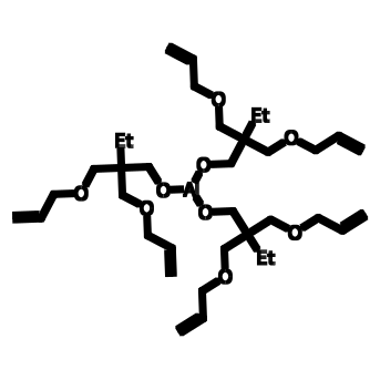 C=CCOCC(CC)(COCC=C)C[O][Al]([O]CC(CC)(COCC=C)COCC=C)[O]CC(CC)(COCC=C)COCC=C